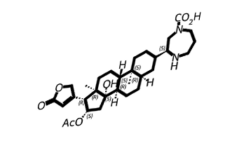 CC(=O)O[C@H]1C[C@]2(O)[C@@H]3CC[C@@H]4CC([C@H]5CN(C(=O)O)CCCN5)CC[C@]4(C)[C@H]3CC[C@]2(C)[C@H]1C1=CC(=O)OC1